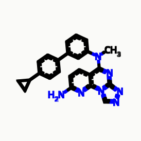 CN(c1cccc(-c2ccc(C3CC3)cc2)c1)c1nc2nncn2c2nc(N)ccc12